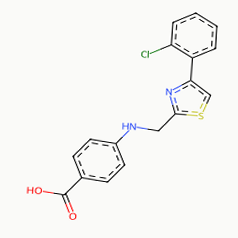 O=C(O)c1ccc(NCc2nc(-c3ccccc3Cl)cs2)cc1